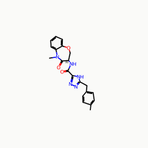 Cc1ccc(Cc2nnc(C(=O)N[C@@H]3COc4ccccc4N(C)C3=O)[nH]2)cc1